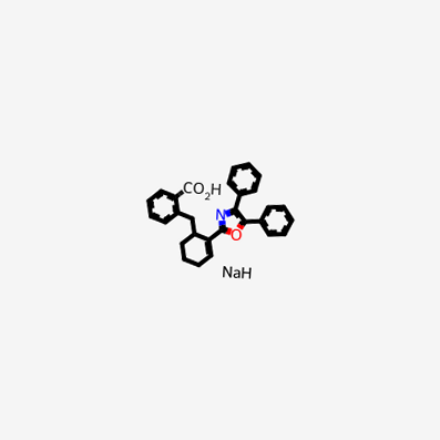 O=C(O)c1ccccc1CC1CCCC=C1c1nc(-c2ccccc2)c(-c2ccccc2)o1.[NaH]